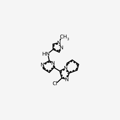 Cn1cc(Nc2nccc(-c3c(Cl)nc4ccccn34)n2)cn1